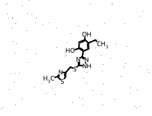 CCc1cc(-c2n[nH]c(SCc3csc(C)n3)n2)c(O)cc1O